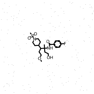 COCCC(C1CCN(S(C)(=O)=O)CC1)C(C)(CCO)NC(=O)c1ccc(F)cc1